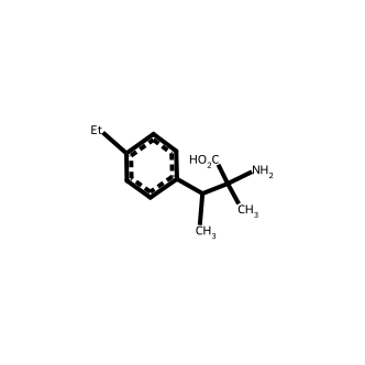 CCc1ccc(C(C)C(C)(N)C(=O)O)cc1